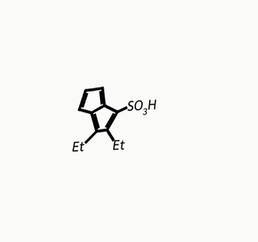 CCC1=C2C=CC=C2C(S(=O)(=O)O)=C1CC